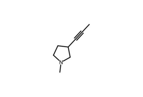 CC#CC1CCN(C)C1